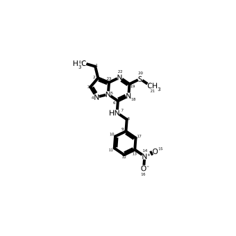 CCc1cnn2c(NCc3cccc([N+](=O)[O-])c3)nc(SC)nc12